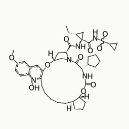 CC[C@@H]1C[C@]1(NC(=O)[C@@H]1C[C@@H]2CN1C(=O)[C@H](C1CCCC1)NC(=O)O[C@@H]1CCC[C@H]1CCCCCc1c(cc3cc(OC)ccc3[n+]1O)O2)C(=O)NS(=O)(=O)C1CC1